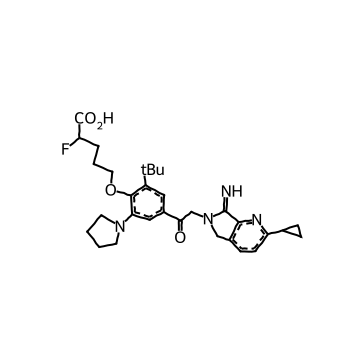 CC(C)(C)c1cc(C(=O)CN2Cc3ccc(C4CC4)nc3C2=N)cc(N2CCCC2)c1OCCCC(F)C(=O)O